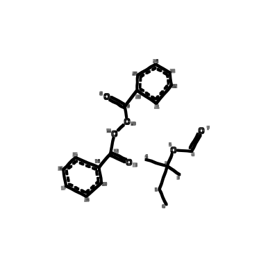 CCC(C)(C)OC=O.O=C(OOC(=O)c1ccccc1)c1ccccc1